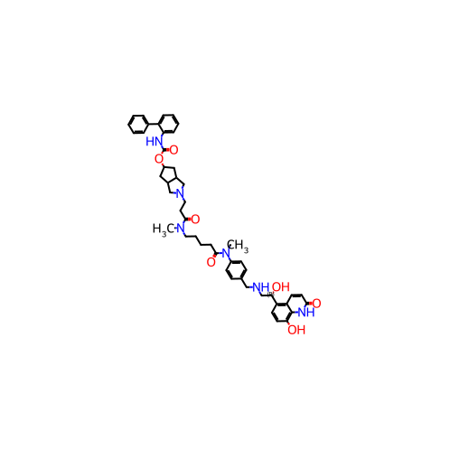 CN(CCCCC(=O)N(C)c1ccc(CNC[C@H](O)c2ccc(O)c3[nH]c(=O)ccc23)cc1)C(=O)CCN1CC2CC(OC(=O)Nc3ccccc3-c3ccccc3)CC2C1